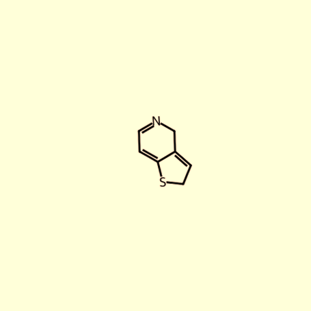 C1=NCC2=CCSC2=C1